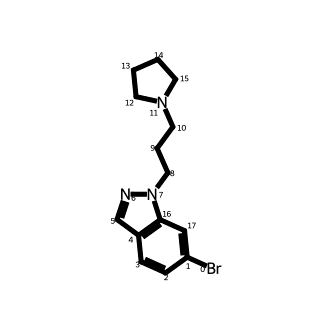 Brc1ccc2cnn(CCCN3CCCC3)c2c1